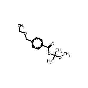 CCOCc1ccc(C(=O)OC(C)(C)OC)cc1